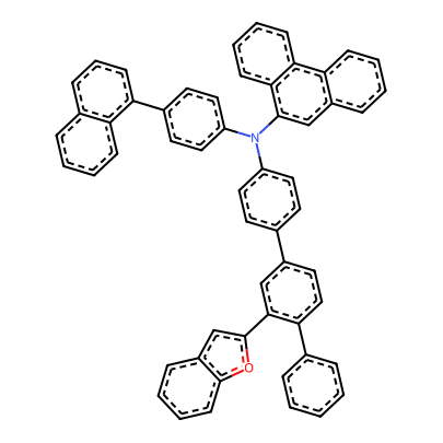 c1ccc(-c2ccc(-c3ccc(N(c4ccc(-c5cccc6ccccc56)cc4)c4cc5ccccc5c5ccccc45)cc3)cc2-c2cc3ccccc3o2)cc1